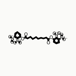 O=C(CCCCCCCCC(=O)Oc1cccc([N+](=O)[O-])c1[N+](=O)[O-])Oc1cccc([N+](=O)[O-])c1[N+](=O)[O-]